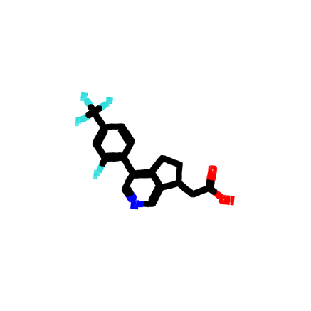 O=C(O)CC1CCc2c(-c3ccc(C(F)(F)F)cc3F)cncc21